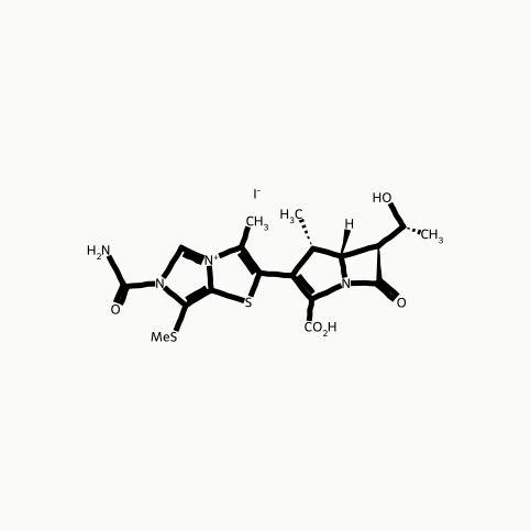 CSc1c2sc(C3=C(C(=O)O)N4C(=O)[C@H]([C@@H](C)O)[C@H]4[C@H]3C)c(C)[n+]2cn1C(N)=O.[I-]